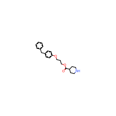 O=C(OCCCOc1ccc(Cc2ccccc2)cc1)C1CCNCC1